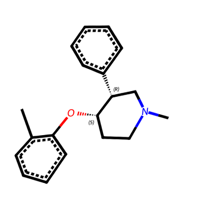 Cc1ccccc1O[C@H]1CCN(C)C[C@H]1c1ccccc1